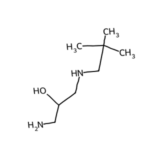 CC(C)(C)CNCC(O)CN